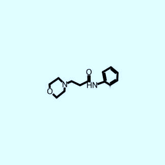 O=C(CCN1CCOCC1)Nc1[c]cccc1